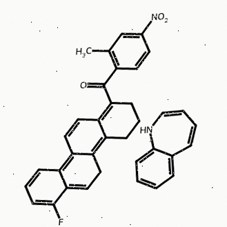 C1=CNc2ccccc2C=C1.Cc1cc([N+](=O)[O-])ccc1C(=O)C1=c2ccc3c(c2CCC1)CC=c1c(F)cccc1=3